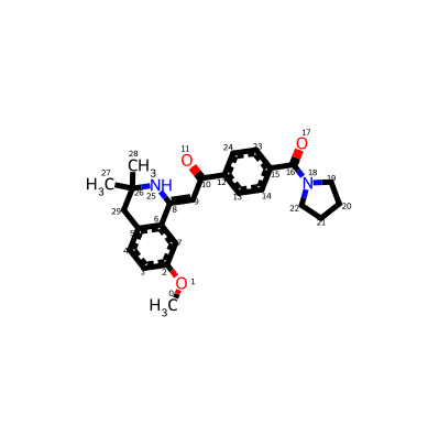 COc1ccc2c(c1)C(=CC(=O)c1ccc(C(=O)N3CCCC3)cc1)NC(C)(C)C2